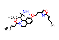 CCCCC=CC(=O)N1CCc2ccc(OCCc3coc(C=CCC(C)C)n3)cc2C1C(C(=O)O)C(C)(C)N